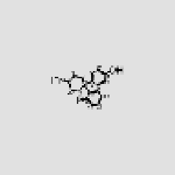 CC(C)C1CCC(c2ccc(O)cc2)(c2ccccc2F)CC1